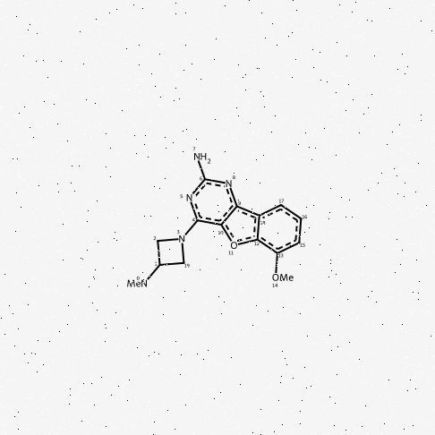 CNC1CN(c2nc(N)nc3c2oc2c(OC)cccc23)C1